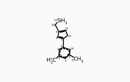 Cc1cc(C)cc(C2=CC(C[SiH3])=CC2)c1